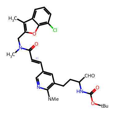 CNc1ncc(/C=C/C(=O)N(C)Cc2oc3c(Cl)cccc3c2C)cc1CCC(C=O)NC(=O)OC(C)(C)C